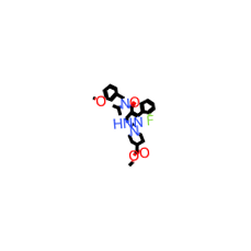 CCOC(=O)C1CCN(C2=NC(c3ccccc3F)=C(C(=O)N(Cc3cccc(OC)c3)C(C)C)CN2)CC1